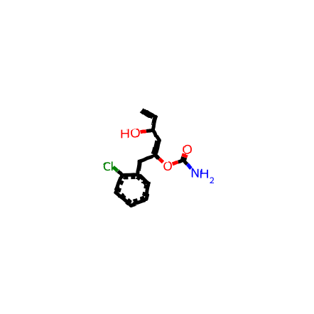 C=CC(O)C=C(Cc1ccccc1Cl)OC(N)=O